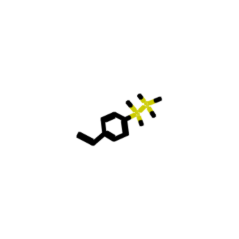 C=Cc1ccc(S(C)(C)S(C)(C)C)cc1